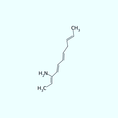 CC=CCC=CC=CC(N)=CC